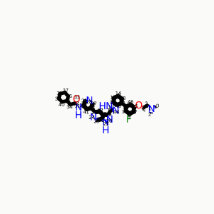 CN(C)CCOc1cc(F)cc(-c2cccc3[nH]c(-c4n[nH]c5cnc(-c6cncc(NC(=O)CC7CCCCC7)c6)cc45)nc23)c1